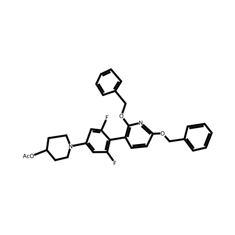 CC(=O)OC1CCN(c2cc(F)c(-c3ccc(OCc4ccccc4)nc3OCc3ccccc3)c(F)c2)CC1